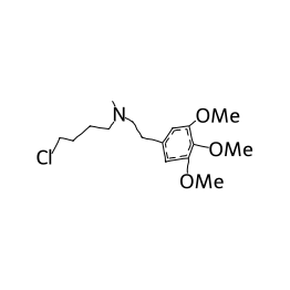 COc1cc(CCN(C)CCCCCl)cc(OC)c1OC